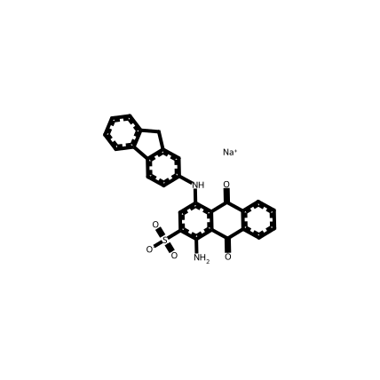 Nc1c(S(=O)(=O)[O-])cc(Nc2ccc3c(c2)Cc2ccccc2-3)c2c1C(=O)c1ccccc1C2=O.[Na+]